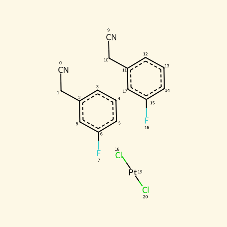 N#CCc1cccc(F)c1.N#CCc1cccc(F)c1.[Cl][Pt][Cl]